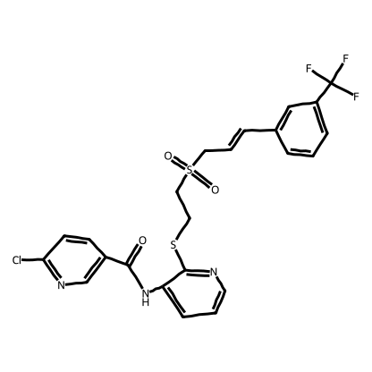 O=C(Nc1cccnc1SCCS(=O)(=O)CC=Cc1cccc(C(F)(F)F)c1)c1ccc(Cl)nc1